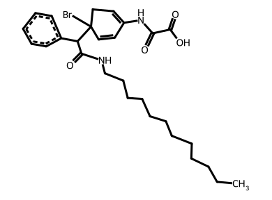 CCCCCCCCCCCCNC(=O)C(c1ccccc1)C1(Br)C=CC(NC(=O)C(=O)O)=CC1